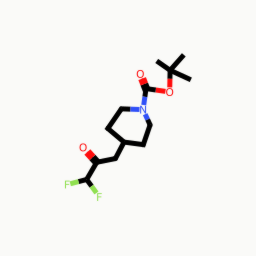 CC(C)(C)OC(=O)N1CCC(CC(=O)C(F)F)CC1